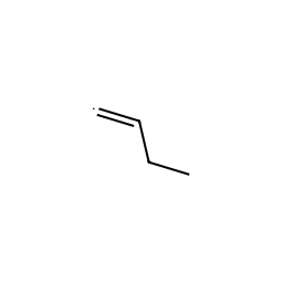 [CH]=CCC